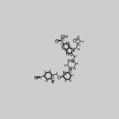 N#Cc1ccc(COc2cccc(N3CCN(Cc4nc5sc(C(=O)O)nc5n4CC4CCO4)CC3)n2)c(F)c1